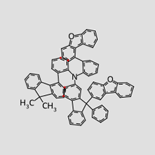 CC1(C)c2ccccc2-c2c(-c3ccccc3N(c3ccc4c(c3)C(c3ccccc3)(c3ccc5oc6ccccc6c5c3)c3ccccc3-4)c3ccccc3-c3cccc4oc5ccccc5c34)cccc21